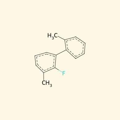 Cc1ccccc1-c1cccc(C)c1F